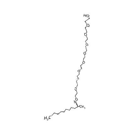 CCCCCCCCCC(C)=NOCCOCCOCCOCCOCCOCCOCCOCCOCCO